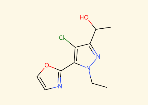 CCn1nc(C(C)O)c(Cl)c1-c1ncco1